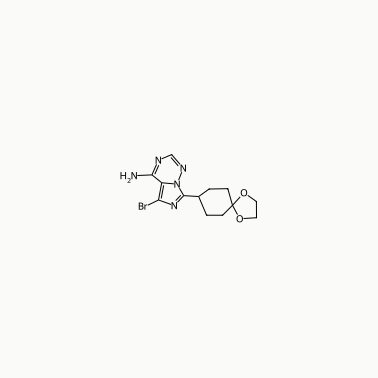 Nc1ncnn2c(C3CCC4(CC3)OCCO4)nc(Br)c12